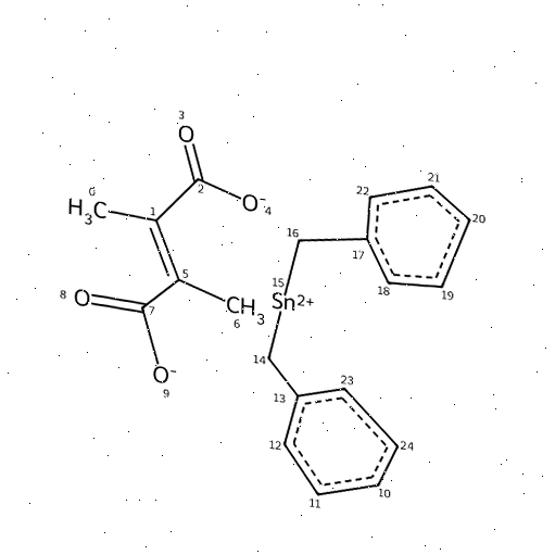 CC(C(=O)[O-])=C(C)C(=O)[O-].c1ccc([CH2][Sn+2][CH2]c2ccccc2)cc1